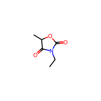 CCN1C(=O)OC(C)C1=O